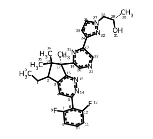 CCC1c2cc(-c3c(F)cccc3F)nnc2[C@](C)(c2cncc(-c3ccn(C[C@H](C)O)n3)n2)C1(C)C